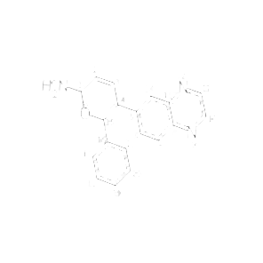 NC1C=CC(c2ccc3nccnc3c2)=C(c2ccccc2)O1